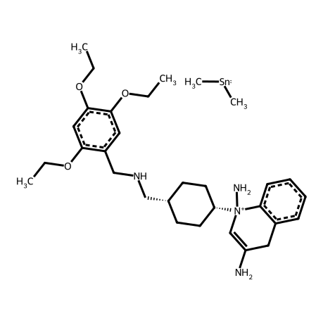 CCOc1cc(OCC)c(OCC)cc1CNC[C@H]1CC[C@@H]([N+]2(N)C=C(N)Cc3ccccc32)CC1.[CH3][Sn][CH3]